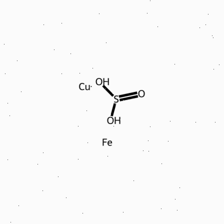 O=S(O)O.[Cu].[Fe]